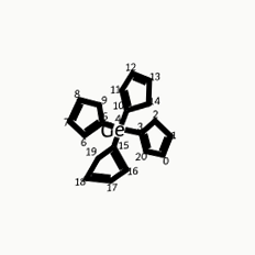 C1=CC[C]([Ge]([C]2=CC=CC2)([C]2=CC=CC2)[C]2=CC=CC2)=C1